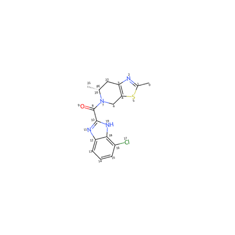 Cc1nc2c(s1)CN(C(=O)c1nc3cccc(Cl)c3[nH]1)[C@H](C)C2